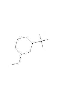 CCC1CCCC(C(C)(C)O)C1